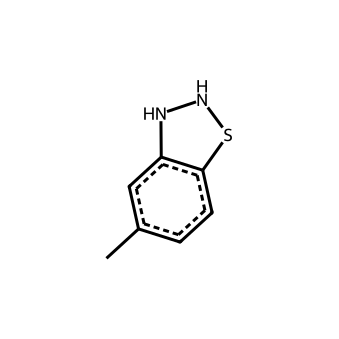 Cc1ccc2c(c1)NNS2